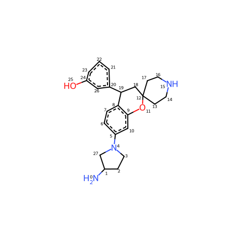 NC1CCN(c2ccc3c(c2)OC2(CCNCC2)CC3c2cccc(O)c2)C1